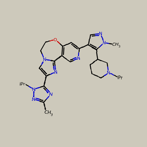 Cc1nc(-c2cn3c(n2)-c2cnc(-c4cnn(C)c4C4CCCN(C(C)C)C4)cc2OCC3)n(C(C)C)n1